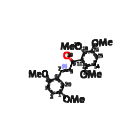 COc1ccc(OC)c(/C=C/C(=O)c2c(OC)ccc(OC)c2OC)c1